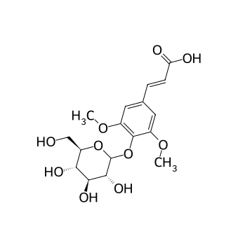 COc1cc(C=CC(=O)O)cc(OC)c1OC1O[C@H](CO)[C@@H](O)[C@H](O)[C@H]1O